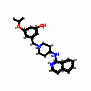 CC(C)Oc1cc(O)cc(CN2CCC(Nc3nccc4ccccc34)CC2)c1